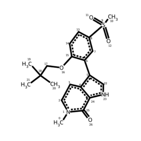 Cn1ccc2c(-c3cc(S(C)(=O)=O)ccc3OCC(C)(C)C)c[nH]c2c1=O